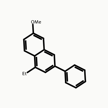 CCc1cc(-c2ccccc2)cc2cc(OC)ccc12